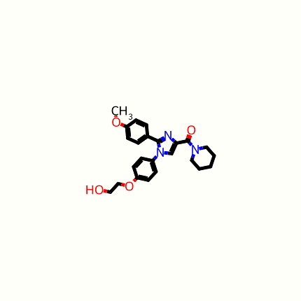 COc1ccc(-c2nc(C(=O)N3CCCCC3)cn2-c2ccc(OCCO)cc2)cc1